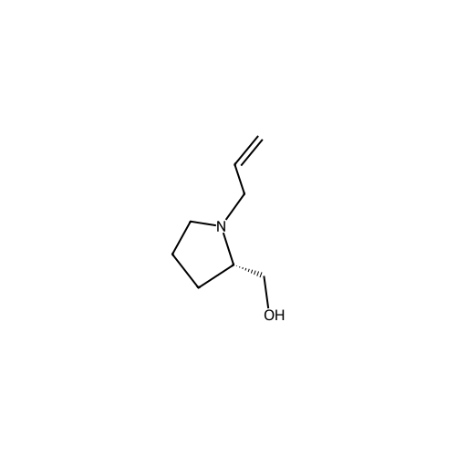 C=CCN1CCC[C@H]1CO